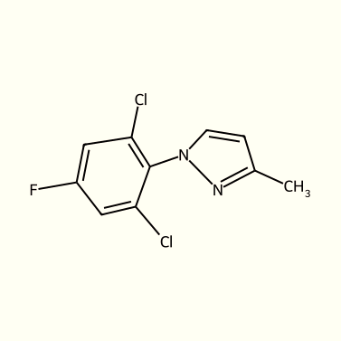 Cc1ccn(-c2c(Cl)cc(F)cc2Cl)n1